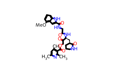 COc1cccc2[nH]c(C(=O)NCC(=O)N[C@@H](C[C@@H]3CCCNC3=O)C(=O)COC(=O)c3c(C)cc(C)nc3C)cc12